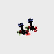 COC(=O)c1ccc(OC(F)F)c(C#Cc2cncnc2)c1.O=C(O)c1ccc(OC(F)F)c(C#Cc2cncnc2)c1